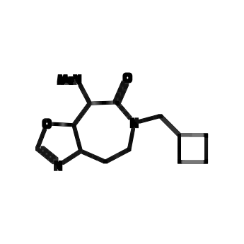 CNC1C(=O)N(CC2CCC2)CCC2N=COC21